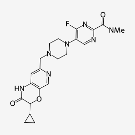 CNC(=O)c1ncc(N2CCN(Cc3cc4c(cn3)OC(C3CC3)C(=O)N4)CC2)c(F)n1